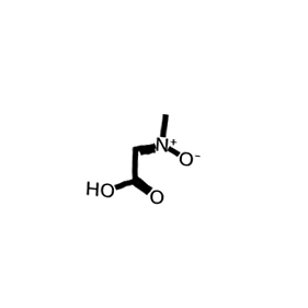 C[N+]([O-])=CC(=O)O